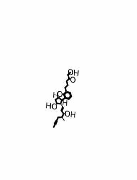 CC#CC[C@H](C)[C@H](O)/C=C/[C@@H]1[C@H]2c3cccc(CCCC(=O)CO)c3O[C@H]2C[C@H]1O